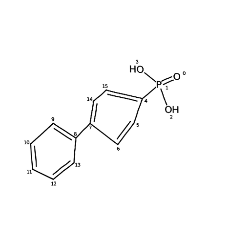 O=P(O)(O)c1ccc(-c2ccccc2)cc1